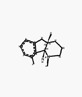 Cc1cccc2c1[C@H]1N(C)CCC[C@@]1(C)C2